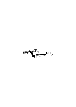 CCC/C=C(\C=N/COCCN)C(F)(F)F